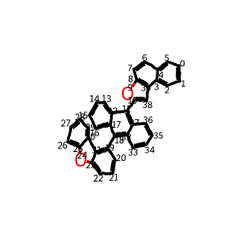 c1ccc2c(c1)ccc1oc(-c3c4ccccc4c(-c4cccc5oc6ccccc6c45)c4ccccc34)cc12